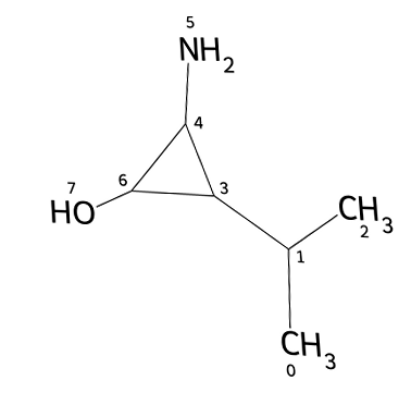 CC(C)C1C(N)C1O